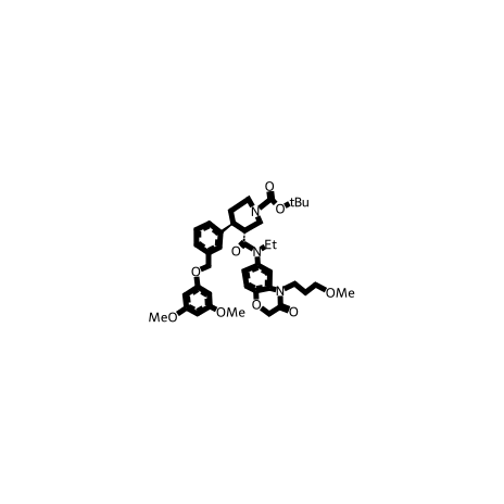 CCN(C(=O)[C@H]1CN(C(=O)OC(C)(C)C)CC[C@@H]1c1cccc(COc2cc(OC)cc(OC)c2)c1)c1ccc2c(c1)N(CCCOC)C(=O)CO2